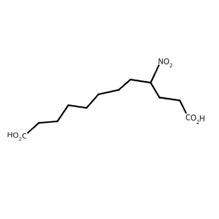 O=C(O)CCCCCCCC(CCC(=O)O)[N+](=O)[O-]